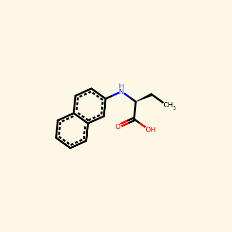 CC[C@H](Nc1ccc2ccccc2c1)C(=O)O